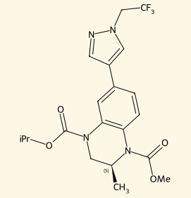 COC(=O)N1c2ccc(-c3cnn(CC(F)(F)F)c3)cc2N(C(=O)OC(C)C)C[C@@H]1C